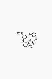 Cl.OC1(N2CCC2N2CC(Oc3cccc(F)c3)C2)CCCC(Oc2cccc(F)c2)C1